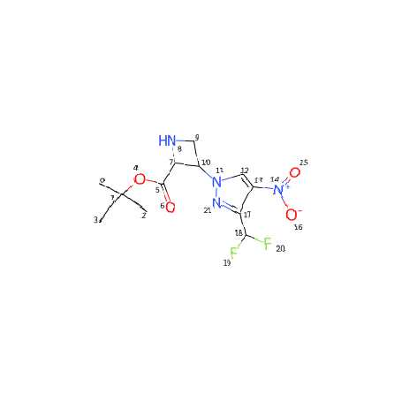 CC(C)(C)OC(=O)C1NCC1n1cc([N+](=O)[O-])c(C(F)F)n1